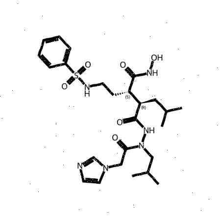 CC(C)C[C@@H](C(=O)NN(CC(C)C)C(=O)Cn1ccnc1)[C@H](CCNS(=O)(=O)c1ccccc1)C(=O)NO